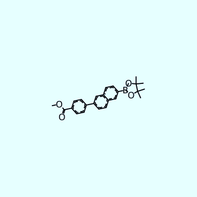 COC(=O)c1ccc(-c2ccc3cc(B4OC(C)(C)C(C)(C)O4)ccc3c2)cc1